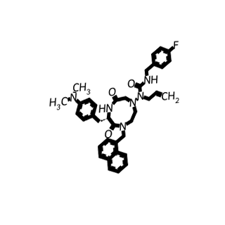 C=CCN(C(=O)NCc1ccc(F)cc1)N1CCN(Cc2cccc3ccccc23)C(=O)[C@H](Cc2ccc(N(C)C)cc2)NC(=O)C1